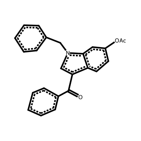 CC(=O)Oc1ccc2c(C(=O)c3ccccc3)cn(Cc3ccccc3)c2c1